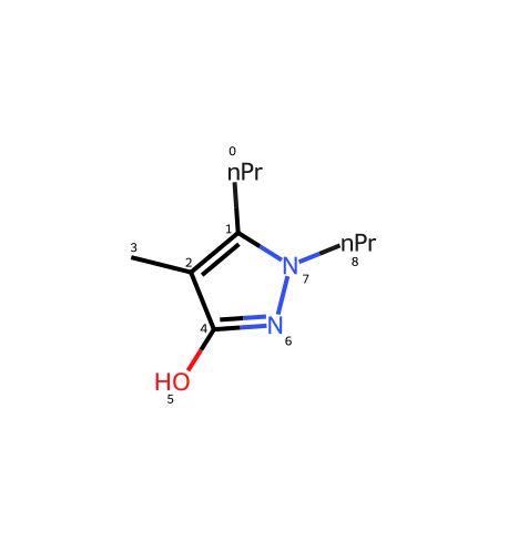 CCCc1c(C)c(O)nn1CCC